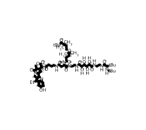 CCc1c2c(nc3ccc(O)cc13)-c1cc3c(c(=O)n1C2)COC(=O)[C@@]3(CC)OC(=O)CCCNC(=O)CC(NC(=O)CCC(C)(C)OCCC(C)(C)C(=O)C(C)(C)C)C(=O)NCCNC(=O)[C@H](O)[C@@H](O)[C@@H](O)[C@H](O)C(=O)NCCNC(=O)C(NC(C)(C)C)C(C)(C)C